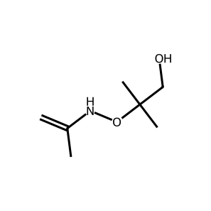 C=C(C)NOC(C)(C)CO